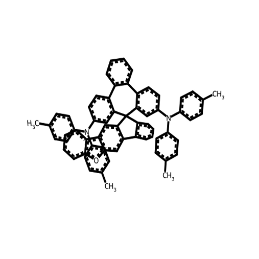 Cc1ccc(N(c2ccc(C)cc2)c2ccc3c(c2)C2(c4cc(N(c5ccc(C)cc5)c5ccc(C)cc5)ccc4-c4ccccc4-3)c3ccccc3-c3cc4oc5ccccc5c4cc32)cc1